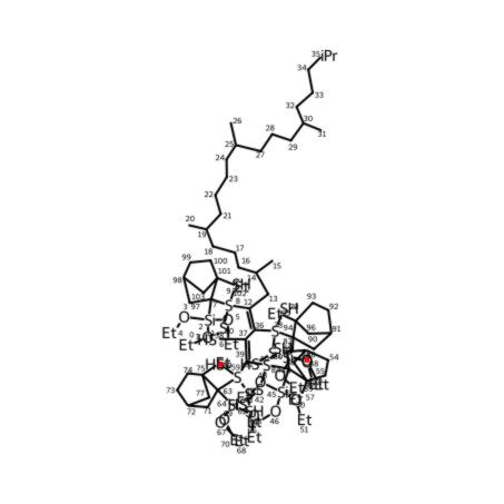 CCO[Si](OCC)(OCC)C1(S(S)(SS)C(CC(C)CCCC(C)CCCCC(C)CCCC(C)CCCC(C)C)=C(C(C)=C(S(S)(SS)C2([Si](OCC)(OCC)OCC)CC3CCC2(CC)C3)S(S)(SS)C2([Si](OCC)(OCC)OCC)CC3CCC2(CC)C3)S(S)(SS)C2([Si](OCC)(OCC)OCC)CC3CCC2(CC)C3)CC2CCC1(CC)C2